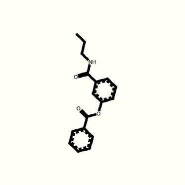 CCCNC(=O)c1cccc(OC(=O)c2ccccc2)c1